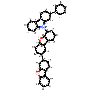 c1ccc(-c2ccc3c4ccccc4n(-c4cccc5c4oc4ccc(-c6ccc7c(c6)oc6ccccc67)cc45)c3c2)cc1